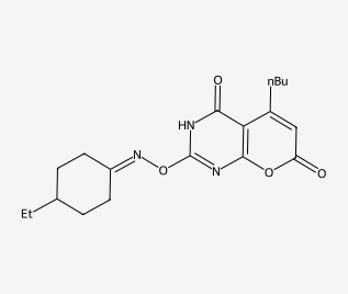 CCCCc1cc(=O)oc2nc(ON=C3CCC(CC)CC3)[nH]c(=O)c12